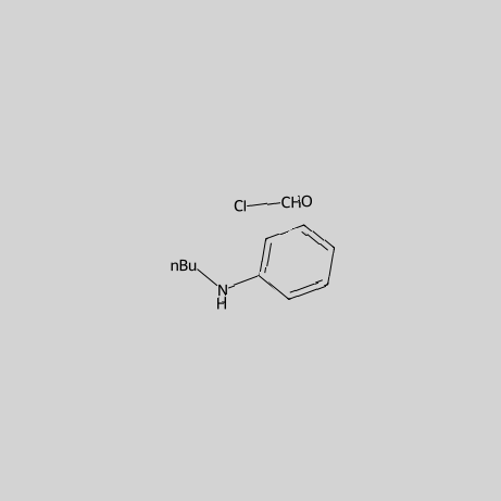 CCCCNc1ccccc1.O=CCl